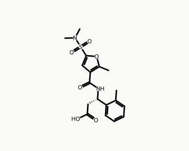 Cc1ccccc1[C@H](CC(=O)O)NC(=O)c1cc(S(=O)(=O)N(C)C)oc1C